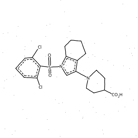 O=C(O)C1CCN(c2cn(S(=O)(=O)c3c(Cl)cccc3Cl)c3c2CCCC3)CC1